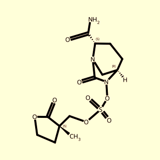 C[C@@]1(COS(=O)(=O)ON2C(=O)N3C[C@H]2CC[C@H]3C(N)=O)CCOC1=O